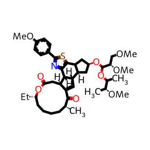 CC[C@H]1CCCC[C@@H](C)C(=O)C2=C[C@@H]3[C@@H](c4nc(-c5ccc(OC)cc5)sc4C4C[C@@H](OC(OC(C)[C@@H](C)OC)[C@H](COC)OC)C[C@H]43)[C@@H]2CC(=O)O1